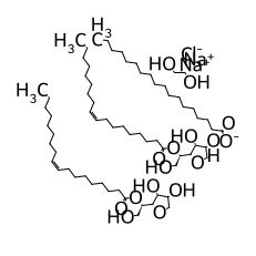 CCCCCCCC/C=C\CCCCCCCC(=O)O[C@H](CO)[C@H]1OC[C@H](O)[C@H]1O.CCCCCCCC/C=C\CCCCCCCC(=O)O[C@H](CO)[C@H]1OC[C@H](O)[C@H]1O.CCCCCCCCCCCCCCCCCC(=O)[O-].OCCO.[Cl-].[Na+].[Na+]